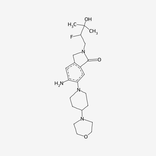 CC(C)(O)C(F)CN1Cc2cc(N)c(N3CCC(N4CCOCC4)CC3)cc2C1=O